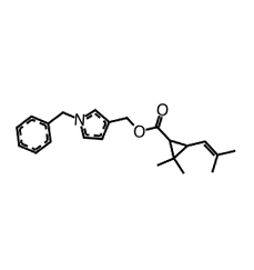 CC(C)=CC1C(C(=O)OCc2ccn(Cc3ccccc3)c2)C1(C)C